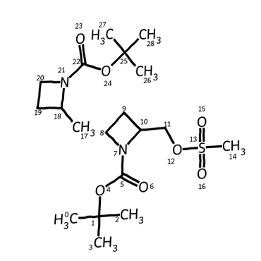 CC(C)(C)OC(=O)N1CCC1COS(C)(=O)=O.CC1CCN1C(=O)OC(C)(C)C